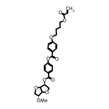 C=CC(=O)OCCCCOc1ccc(C(=O)Oc2ccc(C(=O)O[C@H]3COC4C3OC[C@H]4OC)cc2)cc1